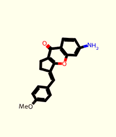 COc1ccc(C=C2CCc3c2oc2cc(N)ccc2c3=O)cc1